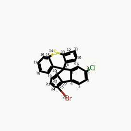 Clc1ccc2c(c1)C1(c3ccccc3Sc3ccccc31)c1cccc(Br)c1-2